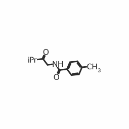 Cc1ccc(C(=O)NCC(=O)C(C)C)cc1